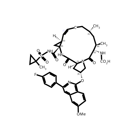 COc1ccc2c(O[C@@H]3C[C@H]4C(=O)N[C@]5(C(=O)NS(=O)(=O)C6(C)CC6)C[C@H]5/C=C\CC[C@H](C)C[C@@H](C)[C@H](NC(=O)O)C(=O)N4C3)nc(-c3ccc(F)cc3)cc2c1